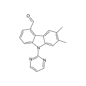 Cc1cc2c3c(C=O)cccc3n(-c3ncccn3)c2cc1C